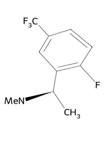 CN[C@H](C)c1cc(C(F)(F)F)ccc1F